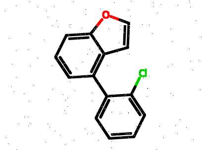 Clc1ccccc1-c1cccc2occc12